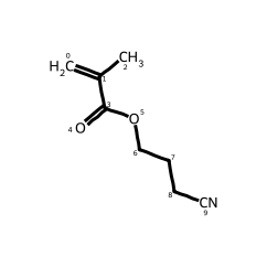 C=C(C)C(=O)OCCCC#N